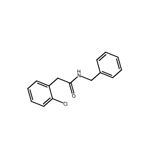 O=C(Cc1ccccc1Cl)NCc1ccccc1